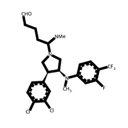 CNC(CCCC=O)N1C[C@H](c2ccc(Cl)c(Cl)c2)[C@H](N(C)c2ccc(C(F)(F)F)c(F)c2)C1